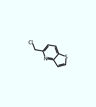 ClCc1ccc2sccc2n1